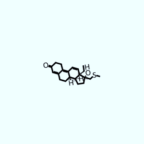 CC[C@]12C=CC3=C4CCC(=O)C=C4CC[C@H]3[C@@H]1CC[C@@]2(O)CSC